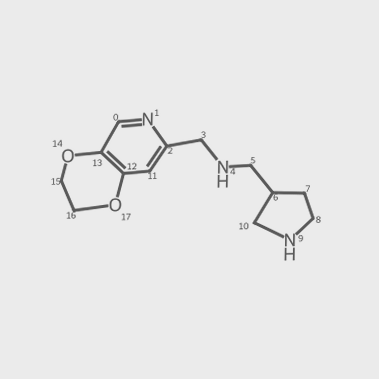 c1nc(CNCC2CCNC2)cc2c1OCCO2